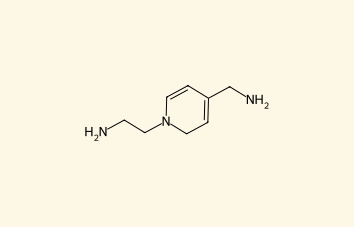 NCCN1C=CC(CN)=CC1